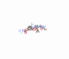 CCCC(=O)NC(C)(C)/C=C/n1ncc(C(=O)N[C@H]2C3CC4CC2C[C@@](COC(N)=O)(C4)C3)c1OCC(C)C